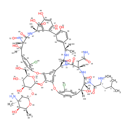 CN[C@H](CC(C)C)C(=O)N[C@H]1C(=O)N[C@@H](CC(N)=O)C(=O)N[C@H]2C(=O)N[C@@H](C)c3ccc(O)c(c3)-c3c(O)cc(O)cc3[C@@H](C(=O)O)NC(=O)[C@@H](N=O)[C@H](O)c3ccc(c(Cl)c3)Oc3cc2cc(c3O[C@@H]2O[C@H](CO)[C@@H](O)[C@H](O)[C@H]2O[C@H]2C[C@](C)(N)[C@H](O)[C@H](C)O2)Oc2ccc(cc2Cl)[C@H]1O